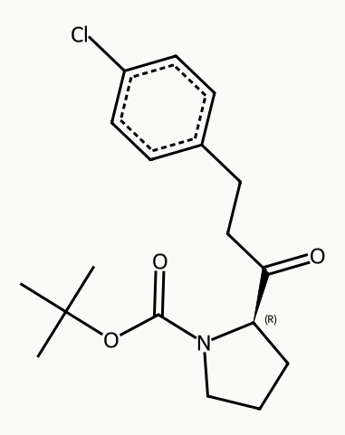 CC(C)(C)OC(=O)N1CCC[C@@H]1C(=O)CCc1ccc(Cl)cc1